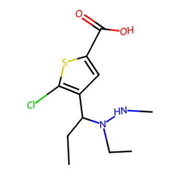 CCC(c1cc(C(=O)O)sc1Cl)N(CC)NC